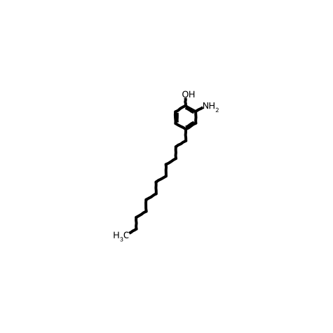 CCCCCCCCCCCCc1ccc(O)c(N)c1